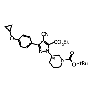 CCOC(=O)c1c(C#N)c(-c2ccc(OC3CC3)cc2)nn1[C@@H]1CCCN(C(=O)OC(C)(C)C)C1